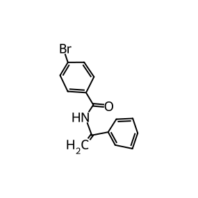 C=C(NC(=O)c1ccc(Br)cc1)c1ccccc1